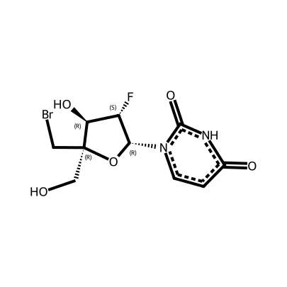 O=c1ccn([C@@H]2O[C@@](CO)(CBr)[C@@H](O)[C@@H]2F)c(=O)[nH]1